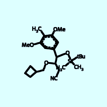 COc1cc(C(O[Si](C)(C)C(C)(C)C)C(CC#N)OCC2CCC2)cc(OC)c1C